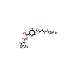 COCCCCOc1ccc(C(=O)OCCCOC)cc1